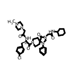 CN1CCN(CC(=O)N[C@H](Cc2ccc(Cl)cc2)C(=O)N2CCC3(CC2)C(=O)N(CC(=O)NC2CCCCC2)CN3c2ccccc2)CC1